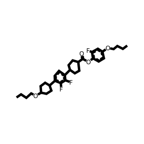 CCCCOc1ccc(OC(=O)C2CCC(c3ccc(C4CCC(OCCCC)CC4)c(F)c3F)CC2)c(F)c1